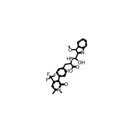 COC1C(C(O)NC(Cc2ccc(-c3c(C(F)(F)F)cc(C)n(C)c3=O)cc2)C(=O)O)=Nc2ccccc21